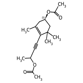 CC(=O)OC(C)C#CC1=C(C)C[C@@H](OC(C)=O)CC1(C)C